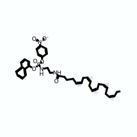 CC/C=C\C/C=C\C/C=C\C/C=C\C/C=C\CCCC(=O)NCCNP(=O)(Oc1ccc([N+](=O)[O-])cc1)Oc1cccc2ccccc12